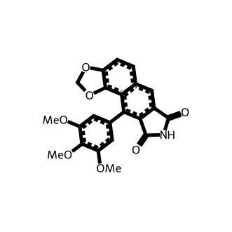 COc1cc(-c2c3c(cc4ccc5c(c24)OCO5)C(=O)NC3=O)cc(OC)c1OC